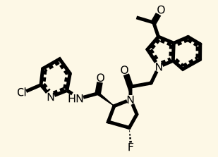 CC(=O)c1cn(CC(=O)N2C[C@H](F)C[C@H]2C(=O)Nc2cccc(Cl)n2)c2ccccc12